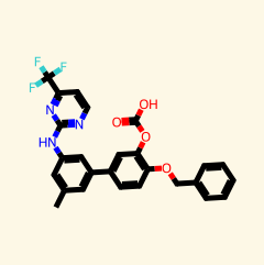 Cc1cc(Nc2nccc(C(F)(F)F)n2)cc(-c2ccc(OCc3ccccc3)c(OC(=O)O)c2)c1